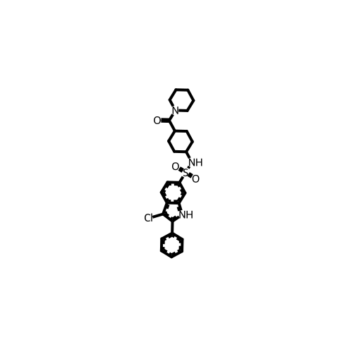 O=C(C1CCC(NS(=O)(=O)c2ccc3c(Cl)c(-c4ccccc4)[nH]c3c2)CC1)N1CCCCC1